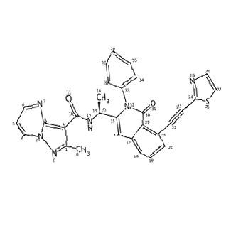 Cc1nn2cccnc2c1C(=O)N[C@@H](C)c1cc2cccc(C#Cc3nccs3)c2c(=O)n1-c1ccccc1